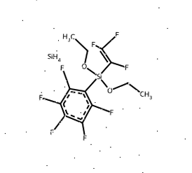 CCO[Si](OCC)(C(F)=C(F)F)c1c(F)c(F)c(F)c(F)c1F.[SiH4]